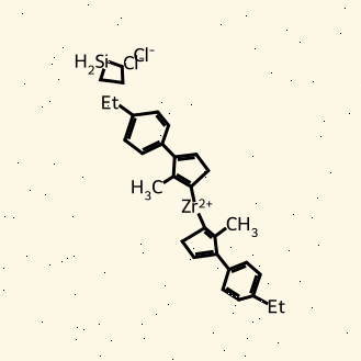 C1C[SiH2]C1.CCc1ccc(C2=CC[C]([Zr+2][C]3=C(C)C(c4ccc(CC)cc4)=CC3)=C2C)cc1.[Cl-].[Cl-]